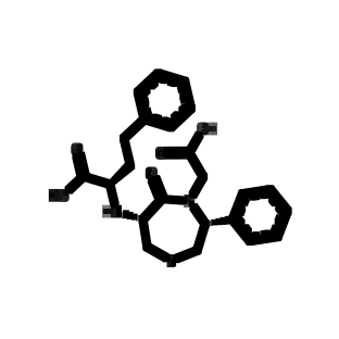 O=C(O)CN1C(=O)[C@@H](N[C@H](CCc2ccccc2)C(=O)O)CSC[C@H]1c1ccccc1